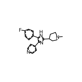 CN1CCC(c2nc(-c3ccncc3)c(-c3ccc(F)cc3)[nH]2)CC1